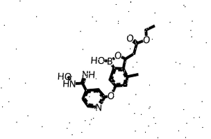 CCOC(=O)CC1OB(O)c2cc(Oc3cc(C(=N)NO)ccn3)cc(C)c21